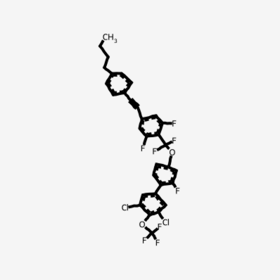 CCCCc1ccc(C#Cc2cc(F)c(C(F)(F)Oc3ccc(-c4cc(Cl)c(OC(F)(F)F)c(Cl)c4)c(F)c3)c(F)c2)cc1